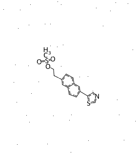 CS(=O)(=O)OCCc1ccc2cc(-c3cncs3)ccc2c1